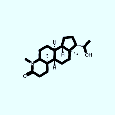 CC(O)[C@H]1CC[C@H]2[C@@H]3CCC4N(C)C(=O)CC[C@]4(C)[C@H]3CC[C@]12C